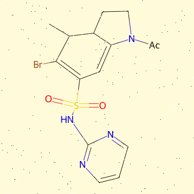 CC(=O)N1CCC2C1=CC(S(=O)(=O)Nc1ncccn1)=C(Br)C2C